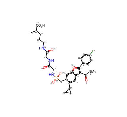 CNC(=O)c1c(-c2ccc(F)cc2)oc2cc(CS(=O)(=O)NCC(=O)NCC(=O)NCCCC(C)C(=O)O)c(C3CC3)cc12